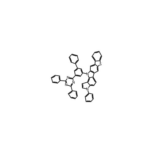 c1ccc(-c2cc(-c3nc(-c4ccccc4)nc(-c4ccccc4)n3)cc(-n3c4cc5c(cc4c4ccc6c(ccn6-c6ccccc6)c43)sc3ccccc35)c2)cc1